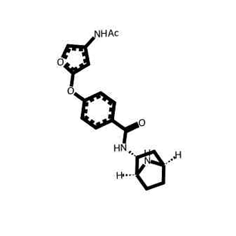 CC(=O)Nc1coc(Oc2ccc(C(=O)N[C@@H]3C[C@H]4CC[C@@H]3N4)cc2)c1